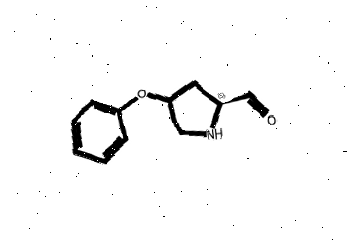 O=[C][C@@H]1CC(Oc2ccccc2)CN1